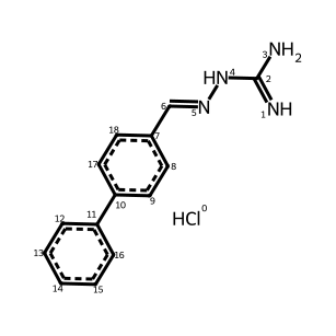 Cl.N=C(N)N/N=C/c1ccc(-c2ccccc2)cc1